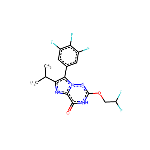 CC(C)c1nc2c(=O)[nH]c(OCC(F)F)nn2c1-c1cc(F)c(F)c(F)c1